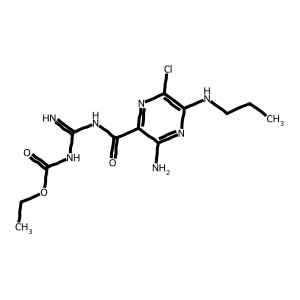 CCCNc1nc(N)c(C(=O)NC(=N)NC(=O)OCC)nc1Cl